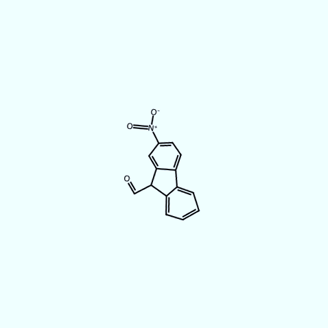 O=CC1c2ccccc2-c2ccc([N+](=O)[O-])cc21